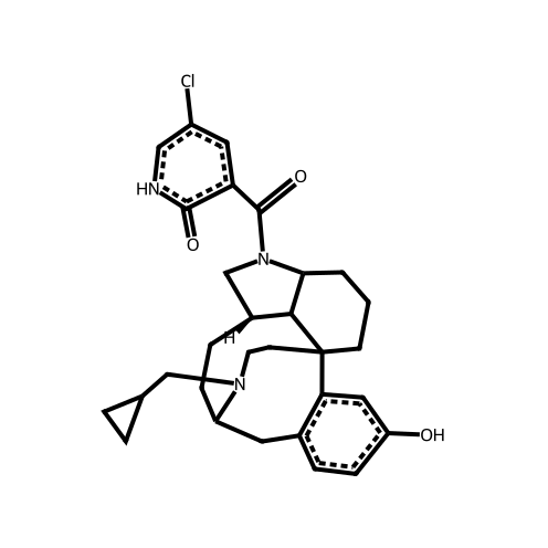 O=C(c1cc(Cl)c[nH]c1=O)N1C[C@H]2CCC3Cc4ccc(O)cc4C4(CCCC1C24)CCN3CC1CC1